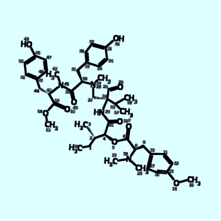 CC[C@H](C)[C@H](OC(=O)[C@@H](Cc1ccc(OC)cc1)N(C)C)C(=O)N[C@](C=O)(CN(C)[C@H](Cc1ccc(O)cc1)C(=O)N(C)[C@@H](Cc1ccc(O)cc1)C(=O)OC)C(C)C